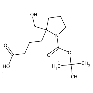 CC(C)(C)OC(=O)N1CCCC1(CO)CCCC(=O)O